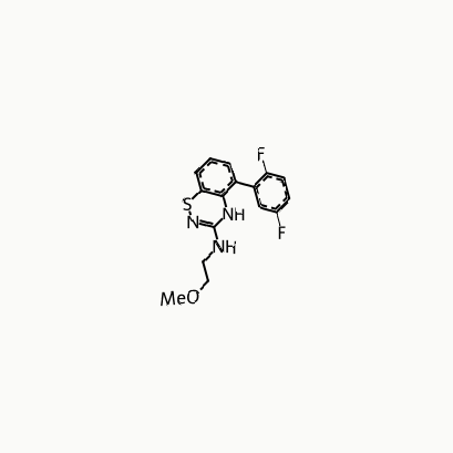 COCCNC1=NSc2cccc(-c3cc(F)ccc3F)c2N1